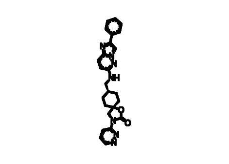 O=C1O[C@]2(CC[C@H](CNc3ccc4nc(-c5ccccc5)cn4n3)CC2)CN1c1cccnn1